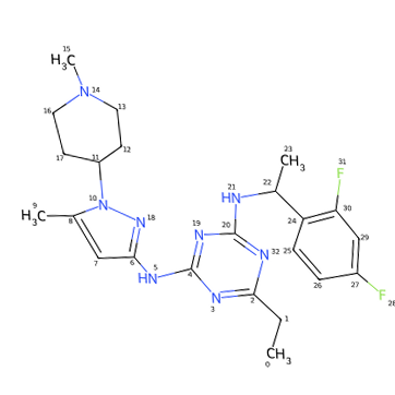 CCc1nc(Nc2cc(C)n(C3CCN(C)CC3)n2)nc(NC(C)c2ccc(F)cc2F)n1